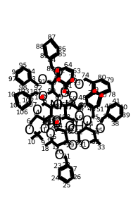 CC(=O)NC1[C@H](C)OC2COC(C)(C)O[C@H]2[C@@H]1O[C@@H]1OC(C)[C@@H](OCc2ccccc2)[C@H](O[C@@H]2OC(C)[C@@H](OCc3ccccc3)[C@H](OCc3ccccc3)C2O[C@@H]2OC(C)[C@@H](OCc3ccccc3)[C@H](O[C@H]3O[C@@H](COCc4ccccc4)[C@H](OCc4ccccc4)C(OCc4ccccc4)C3OCc3ccccc3)C2O)C1O